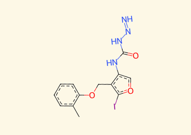 Cc1ccccc1OCc1c(NC(=O)NN=N)coc1I